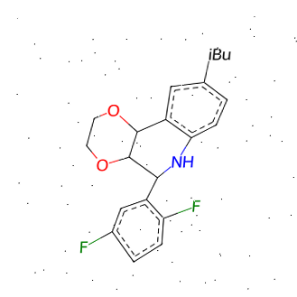 CCC(C)c1ccc2c(c1)C1OCCOC1C(c1cc(F)ccc1F)N2